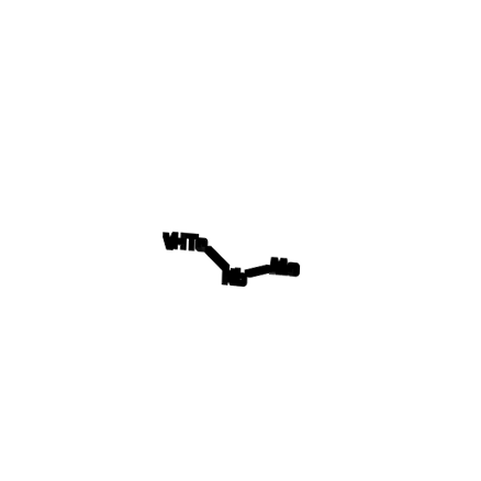 [Mo][Nb][TeH].[V]